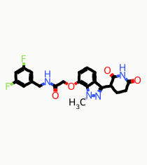 Cn1nc(C2CCC(=O)NC2=O)c2cccc(OCC(=O)NCc3cc(F)cc(F)c3)c21